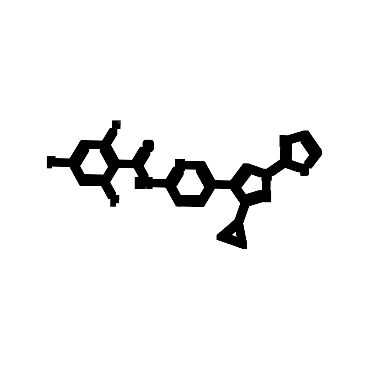 O=C(Nc1ccc(-c2cn(-c3nccs3)nc2C2CC2)cn1)c1c(F)cc(F)cc1F